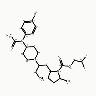 CCC(CC1CCC(C)N1C(=O)OCC(F)F)N1CCC(N(C(C)=O)c2ccc(F)cc2)CC1